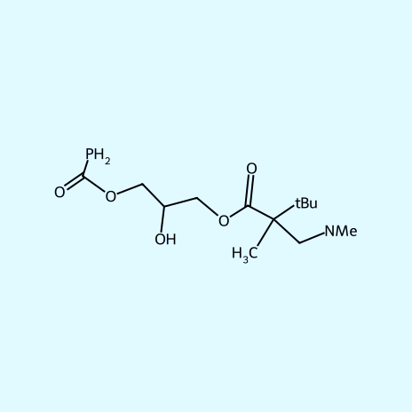 CNCC(C)(C(=O)OCC(O)COC(=O)P)C(C)(C)C